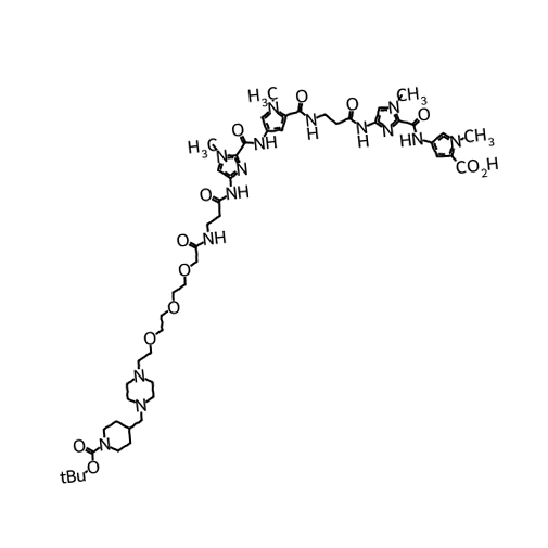 Cn1cc(NC(=O)c2nc(NC(=O)CCNC(=O)c3cc(NC(=O)c4nc(NC(=O)CCNC(=O)COCCOCCOCCN5CCN(CC6CCN(C(=O)OC(C)(C)C)CC6)CC5)cn4C)cn3C)cn2C)cc1C(=O)O